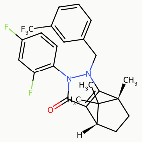 CC1(C)[C@@H]2CC[C@@]1(C)c1c2c(=O)n(-c2ccc(F)cc2F)n1Cc1cccc(C(F)(F)F)c1